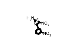 Nc1nc(-c2cccc([N+](=O)[O-])c2)c([N+](=O)[O-])s1